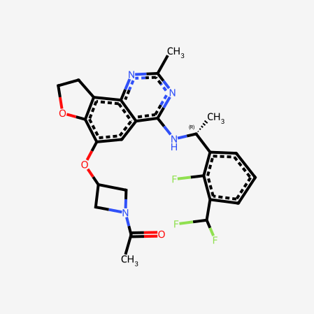 CC(=O)N1CC(Oc2cc3c(N[C@H](C)c4cccc(C(F)F)c4F)nc(C)nc3c3c2OCC3)C1